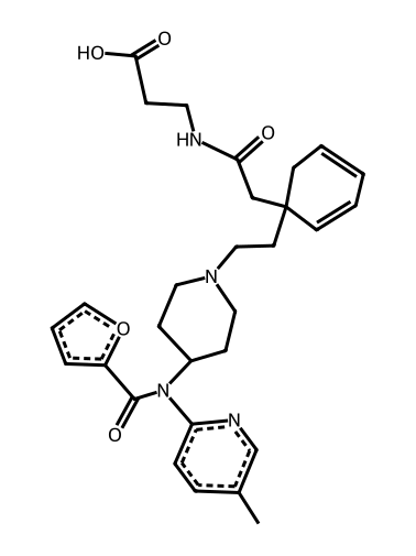 Cc1ccc(N(C(=O)c2ccco2)C2CCN(CCC3(CC(=O)NCCC(=O)O)C=CC=CC3)CC2)nc1